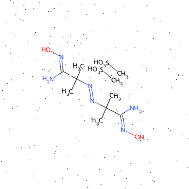 CC(C)(N=NC(C)(C)C(N)=NO)C(N)=NO.CS(=O)(=O)O.CS(=O)(=O)O